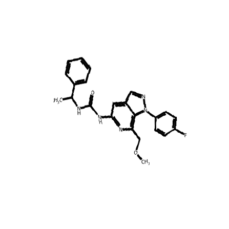 COCc1nc(NC(=O)NC(C)c2ccccc2)cc2cnn(-c3ccc(F)cc3)c12